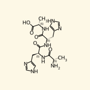 C[C@H](N)C(=O)N[C@@H](Cc1c[nH]cn1)C(=O)N[C@@H](Cc1c[nH]cn1)C(=O)N[C@@H](C)C(=O)O